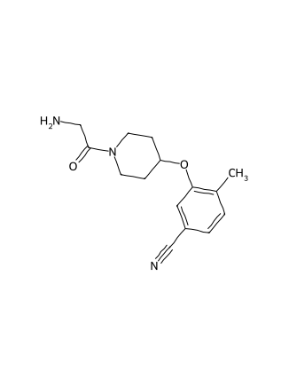 Cc1ccc(C#N)cc1OC1CCN(C(=O)CN)CC1